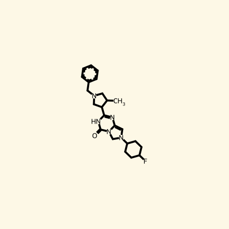 CC1CN(Cc2ccccc2)CC1C1=NC2=CN(C3CCC(F)CC3)CN2C(=O)N1